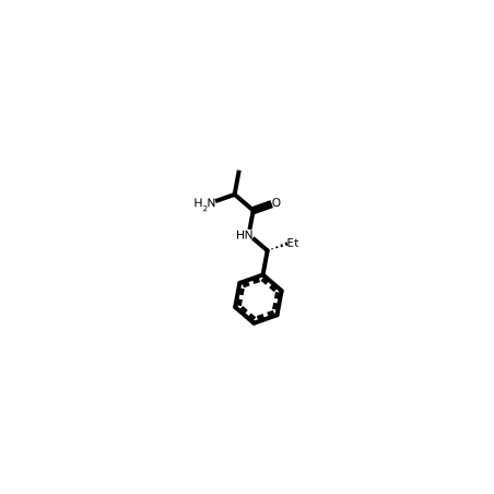 CC[C@@H](NC(=O)C(C)N)c1ccccc1